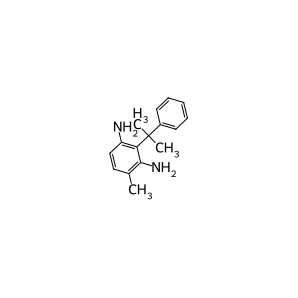 Cc1ccc(N)c(C(C)(C)c2ccccc2)c1N